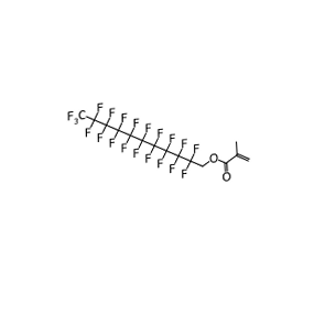 C=C(C)C(=O)OCC(F)(F)C(F)(F)C(F)(F)C(F)(F)C(F)(F)C(F)(F)C(F)(F)C(F)(F)C(F)(F)C(F)(F)F